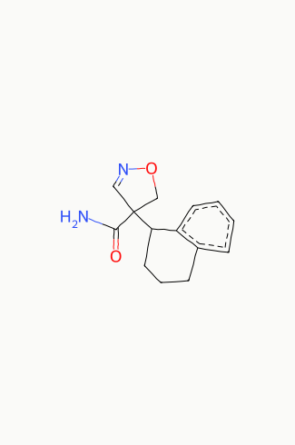 NC(=O)C1(C2CCCc3ccccc32)C=NOC1